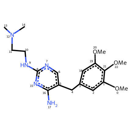 COc1cc(Cc2cnc(NCCN(C)C)nc2N)cc(OC)c1OC